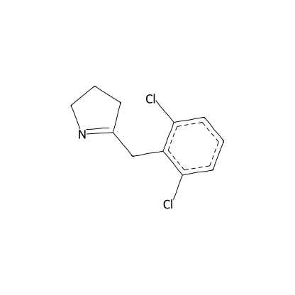 Clc1cccc(Cl)c1CC1=NCCC1